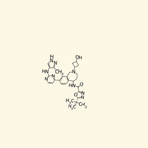 Cc1n[nH]cc1Nc1nccc(-c2ccc3c(c2)CN(C2CC(O)C2)CCC3NC(=O)c2nnc(C(C)(C)C)o2)n1